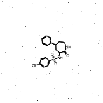 O=C1NCCC(c2ccccc2)CC1NS(=O)(=O)c1ccc(Cl)cc1